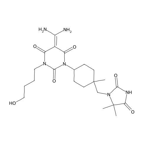 CC1(CN2C(=O)NC(=O)C2(C)C)CCC(N2C(=O)C(=C(N)N)C(=O)N(CCCCO)C2=O)CC1